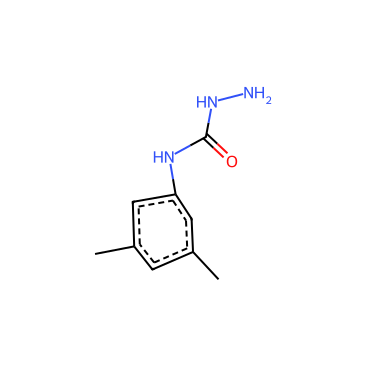 Cc1cc(C)cc(NC(=O)NN)c1